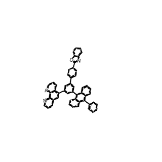 c1ccc(-c2c3ccccc3c(-c3cc(-c4ccc(-c5nc6ccccc6o5)cc4)cc(-c4cc5cccnc5c5ncccc45)c3)c3ccccc23)cc1